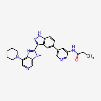 CCC(=O)Nc1cncc(-c2ccc3[nH]nc(-c4nc5c(N6CCCCC6)cncc5[nH]4)c3c2)c1